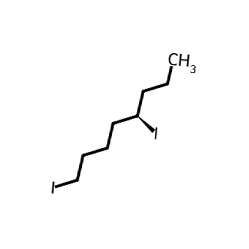 CCC[C@@H](I)CCCCI